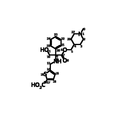 CN1CCC(COC(=O)C(CO)(NCc2ccc(C(=O)O)s2)c2ccccc2)CC1